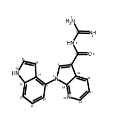 N=C(N)NC(=O)c1cn(-c2cccc3[nH]ccc23)c2ncccc12